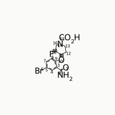 NC(=O)c1cc(Br)ccc1O[C@@H]1CCN(C(=O)O)C[C@@H]1F